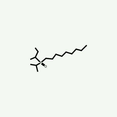 CCCCCCCCCP(=O)(C(C)C)C(C)CC